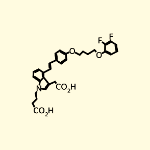 O=C(O)CCCn1cc(CC(=O)O)c2c(/C=C/c3ccc(OCCCCOc4cccc(F)c4F)cc3)cccc21